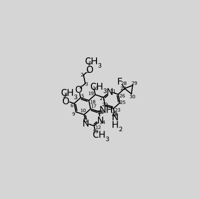 COCCOc1c(OC)cc2nc(C)nc(N)c2c1C(C)c1cc(N)cc(C2(F)CC2)n1